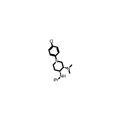 CC(C)N[C@H]1CCN(c2ccc(Cl)cc2)C[C@H]1N(C)C